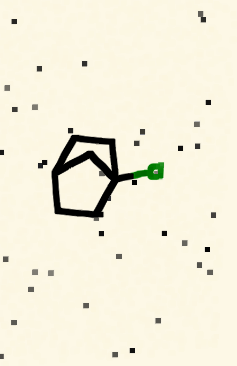 ClC12[CH]CC(CC1)C2